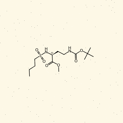 CCCCS(=O)(=O)N[C@@H](CCNC(=O)OC(C)(C)C)C(=O)OC